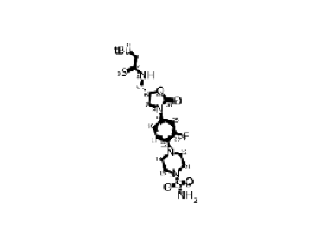 CC(C)(C)CC(=S)NC[C@H]1CN(c2ccc(N3CCN(S(N)(=O)=O)CC3)c(F)c2)C(=O)O1